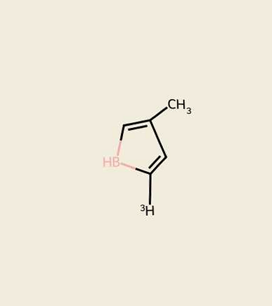 [3H]C1=CC(C)=CB1